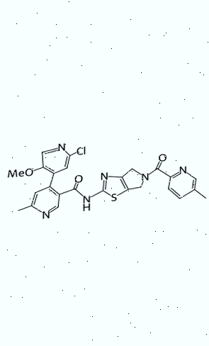 COc1cnc(Cl)cc1-c1cc(C)ncc1C(=O)Nc1nc2c(s1)CN(C(=O)c1ccc(C)cn1)C2